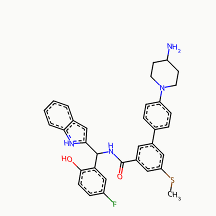 CSc1cc(C(=O)NC(c2cc3ccccc3[nH]2)c2cc(F)ccc2O)cc(-c2ccc(N3CCC(N)CC3)cc2)c1